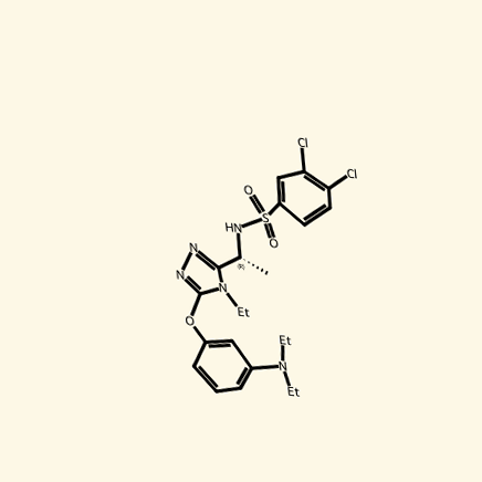 CCN(CC)c1cccc(Oc2nnc([C@@H](C)NS(=O)(=O)c3ccc(Cl)c(Cl)c3)n2CC)c1